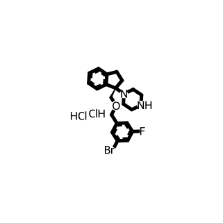 Cl.Cl.Fc1cc(Br)cc(COC[C@]2(N3CCNCC3)CCc3ccccc32)c1